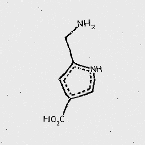 NCc1cc(C(=O)O)c[nH]1